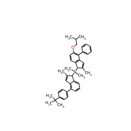 CC1=Cc2c(-c3ccc(C(C)(C)C)cc3)cccc2C1[Si](C)(C)C1C(C)=Cc2c1ccc(OCC(C)C)c2-c1ccccc1